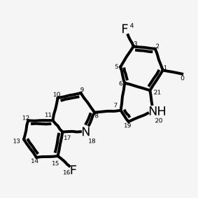 Cc1cc(F)cc2c(-c3ccc4cccc(F)c4n3)c[nH]c12